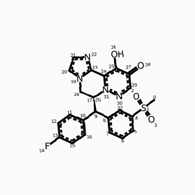 CS(=O)(=O)c1cccc(C(c2ccc(F)cc2)[C@H]2Cn3ccnc3-c3c(O)c(=O)cnn32)c1